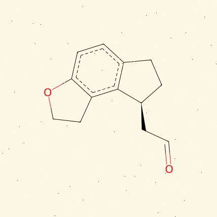 O=CC[C@@H]1CCc2ccc3c(c21)CCO3